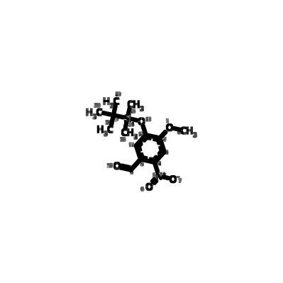 COc1cc([N+](=O)[O-])c(C=O)cc1O[Si](C)(C)C(C)(C)C